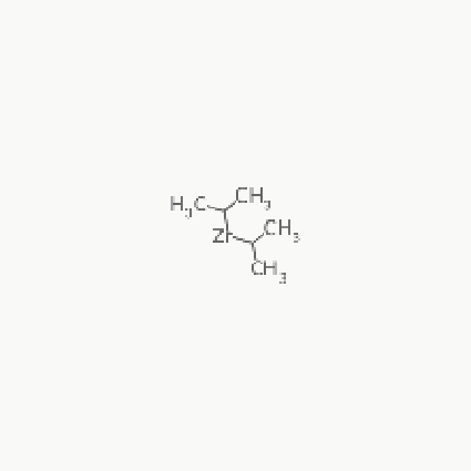 C[CH](C)[Zr][CH](C)C